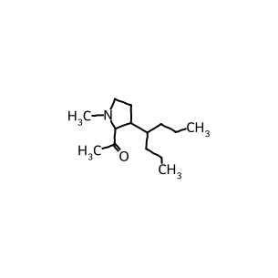 CCCC(CCC)C1CCN(C)C1C(C)=O